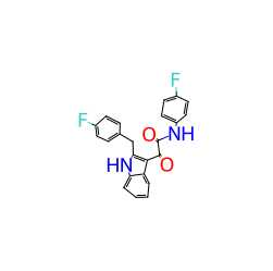 O=C(Nc1ccc(F)cc1)C(=O)c1c(Cc2ccc(F)cc2)[nH]c2ccccc12